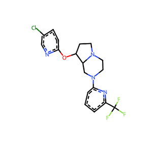 FC(F)(F)c1cccc(N2CCN3CCC(Oc4ccc(Cl)cn4)C3C2)n1